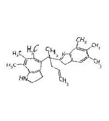 C=CCC(C)(C1=Nc2c(cc(C)c(C)c2C)C1)c1c(C)c(C)c(C)c2c1CCN2